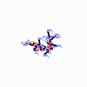 CC(NC(=O)C(CCCNC(=N)N)NC(=O)C(N)CCCCN)C(=O)NC(CCCCN)C(=O)NC(C)C(=O)NC(CCCCN)C(=O)NC(C(=O)NC(C(=O)NC(CCCCN)C(=O)NC(CCCCN)C(=O)NC(CCCNC(=N)N)C(=O)O)C(C)O)C(C)O